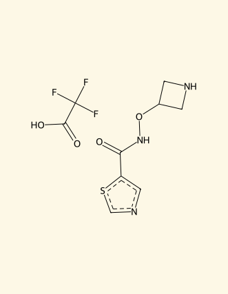 O=C(NOC1CNC1)c1cncs1.O=C(O)C(F)(F)F